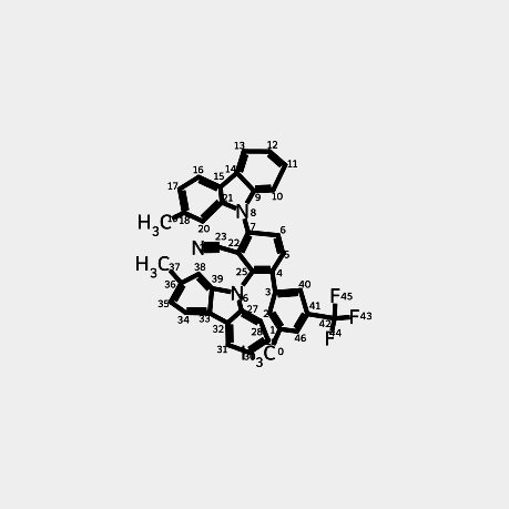 Cc1cc(-c2ccc(-n3c4ccccc4c4ccc(C)cc43)c(C#N)c2-n2c3ccccc3c3ccc(C)cc32)cc(C(F)(F)F)c1